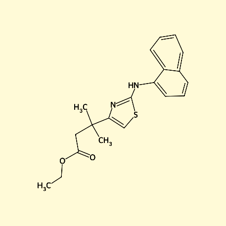 CCOC(=O)CC(C)(C)c1csc(Nc2cccc3ccccc23)n1